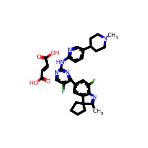 CC1=Nc2c(F)cc(-c3nc(Nc4ccc(C5CCN(C)CC5)cn4)ncc3F)cc2C12CCCC2.O=C(O)/C=C/C(=O)O